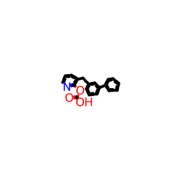 O=C(O)Oc1ncccc1Cc1cccc(-c2ccccc2)c1